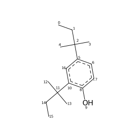 CCC(C)(C)c1c[c]c(O)c(C(C)(C)CC)c1